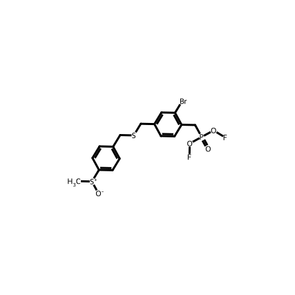 C[S+]([O-])c1ccc(CSCc2ccc(CP(=O)(OF)OF)c(Br)c2)cc1